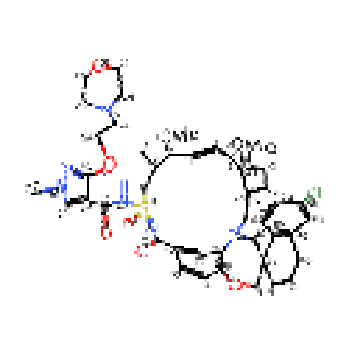 CO[C@H]1/C=C/[C@H](OC)[C@H](C)CS(=O)(NC(=O)c2cn(C)nc2OCCN2CCOCC2)=NC(=O)c2ccc3c(c2)N(C[C@@H]2CC[C@H]21)C[C@@]1(CCCc2cc(Cl)ccc21)CO3